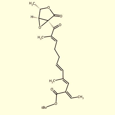 C\C=C(/C=C(C)/C=C/CC/C=C(\C)C(=O)[C@]12O[C@H]1[C@H](C)OC2=O)C(=O)OC(C)(C)C